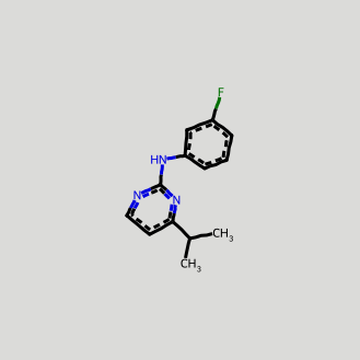 CC(C)c1ccnc(Nc2cccc(F)c2)n1